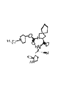 CN1CCC(OC(=O)N2CC3(CCCC3)C[C@H]2C(=O)N[C@H](C#N)C[C@@H]2CCNC2=O)CC1